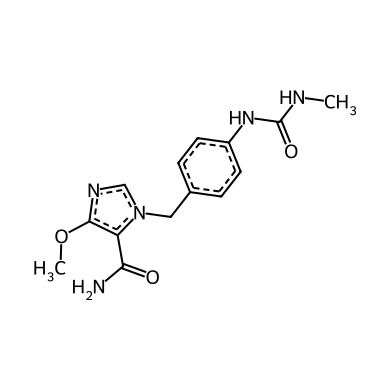 CNC(=O)Nc1ccc(Cn2cnc(OC)c2C(N)=O)cc1